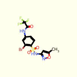 Cc1cc(NS(=O)(=O)c2ccc(NC(=O)C(F)(F)F)cc2Br)no1